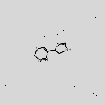 [C]1=NC(C2=CSSN=N2)CN1